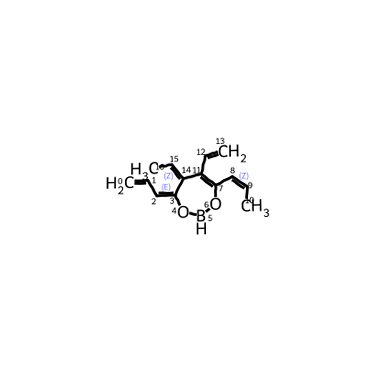 C=C/C=C1OBOC(/C=C\C)=C(C=C)C/1=C/C